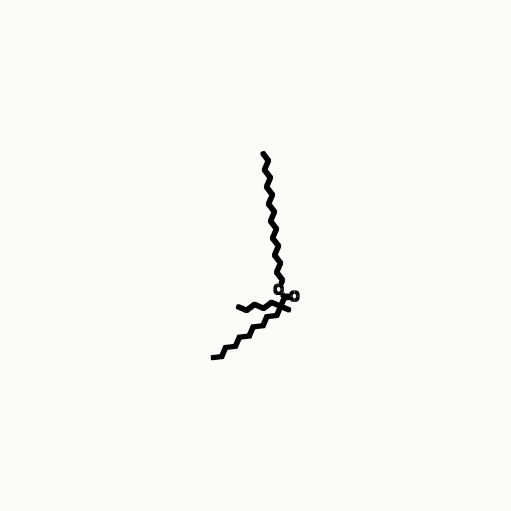 CCCCCCCCCCCCCCCCOC(=O)C(C)(CCCCC)CCCCCCCCCC